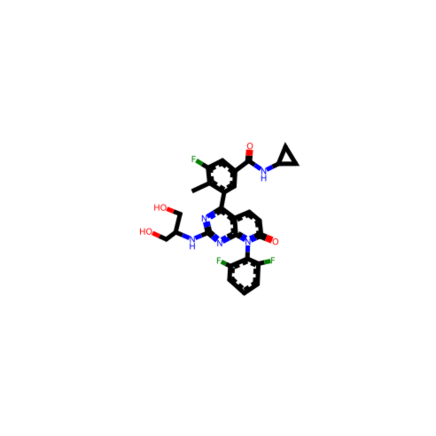 Cc1c(F)cc(C(=O)NC2CC2)cc1-c1nc(NC(CO)CO)nc2c1ccc(=O)n2-c1c(F)cccc1F